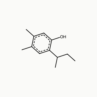 CCC(C)c1cc(C)c(C)cc1O